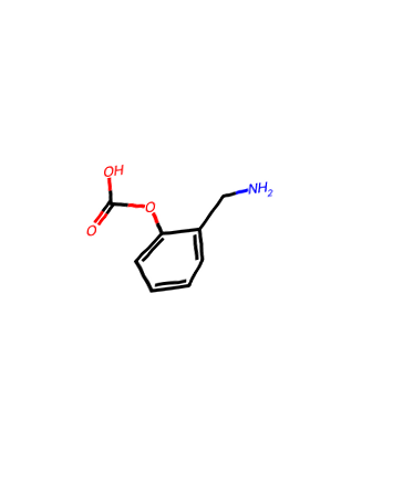 NCc1ccccc1OC(=O)O